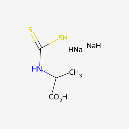 CC(NC(=S)S)C(=O)O.[NaH].[NaH]